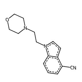 N#Cc1cccc2c1ccn2CCN1CCOCC1